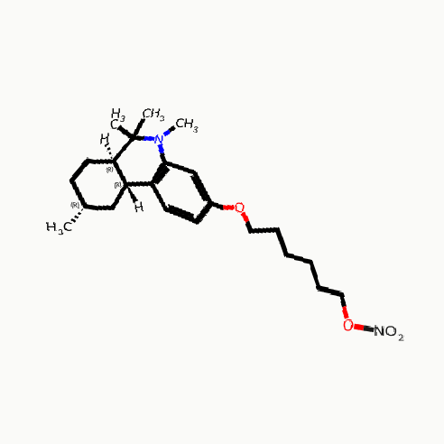 C[C@@H]1CC[C@@H]2[C@@H](C1)c1ccc(OCCCCCCO[N+](=O)[O-])cc1N(C)C2(C)C